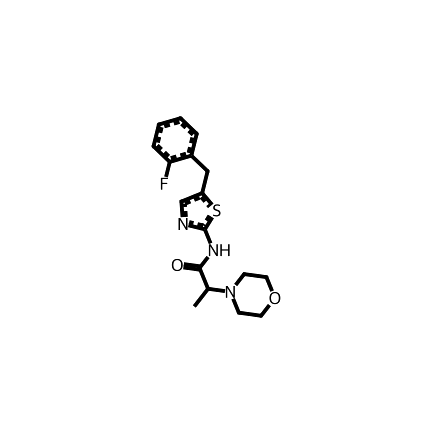 CC(C(=O)Nc1ncc(Cc2ccccc2F)s1)N1CCOCC1